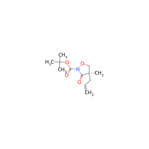 C=CC[C@]1(C)CON(C(=O)OC(C)(C)C)C1=O